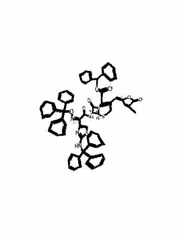 CC1=C/C(=C\C2=C(C(=O)OC(c3ccccc3)c3ccccc3)N3C(=O)[C@@H](NC(=O)/C(=N\OC(c4ccccc4)(c4ccccc4)c4ccccc4)c4csc(NC(c5ccccc5)(c5ccccc5)c5ccccc5)n4)[C@@H]3SC2)OC1=O